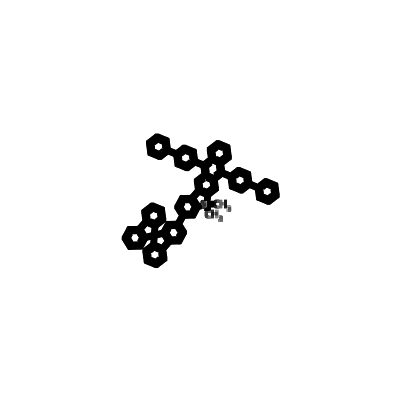 C[Si]1(C)c2cc(-c3ccc4c(c3)C3(c5ccccc5-c5ccccc53)c3ccccc3-4)ccc2-c2cc3c(-c4ccc(-c5ccccc5)cc4)c4ccccc4c(-c4ccc(-c5ccccc5)cc4)c3cc21